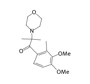 COc1ccc(C(=O)C(C)(C)N2CCOCC2)c(C)c1OC